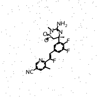 Cc1cc(C#N)cnc1/C(F)=C/c1cc(F)c(F)c([C@]2(C)CS(=O)(=O)N(C)C(N)=N2)c1